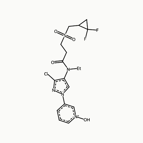 CCN(C(=O)CCS(=O)(=O)CC1CC1(F)F)c1cn(-c2ccc[n+](O)c2)nc1Cl